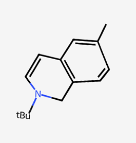 Cc1ccc2c(c1)C=CN(C(C)(C)C)C2